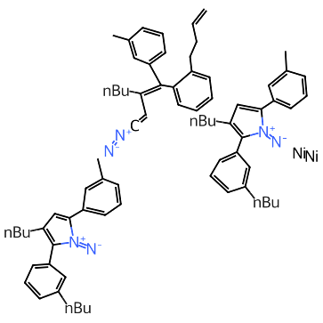 C=CCCc1ccccc1C(=C(C=C=[N+]=[N-])CCCC)c1cccc(C)c1.CCCCC1=C(c2cccc(CCCC)c2)[N+](=[N-])C(c2cccc(C)c2)=C1.CCCCC1=C(c2cccc(CCCC)c2)[N+](=[N-])C(c2cccc(C)c2)=C1.[Ni].[Ni]